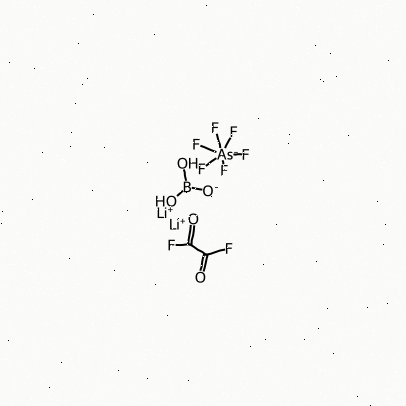 F[As-](F)(F)(F)(F)F.O=C(F)C(=O)F.[Li+].[Li+].[O-]B(O)O